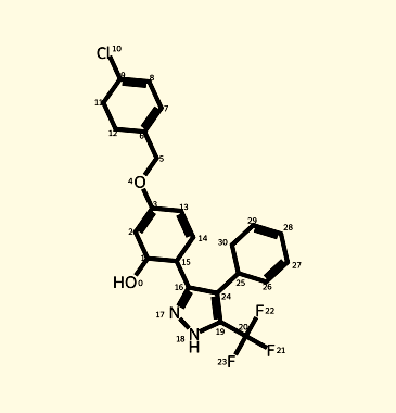 OC1C=C(OCC2=CC=C(Cl)CC2)C=CC1c1n[nH]c(C(F)(F)F)c1C1C=CC=CC1